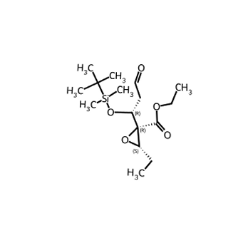 CCOC(=O)[C@@]1([C@@H](CC=O)O[Si](C)(C)C(C)(C)C)O[C@H]1CC